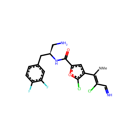 CN/C(=C(/Cl)C=N)c1cc(C(=O)N[C@H](CN)Cc2ccc(F)c(F)c2)oc1Cl